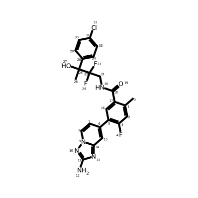 Cc1cc(F)c(-c2ccn3nc(N)nc3c2)cc1C(=O)NCC(F)(F)C(C)(O)c1ccc(Cl)cc1